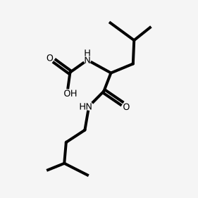 CC(C)CCNC(=O)C(CC(C)C)NC(=O)O